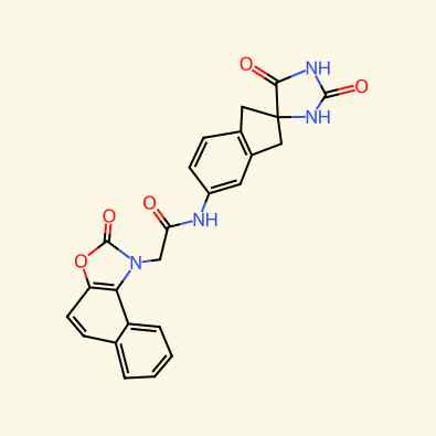 O=C(Cn1c(=O)oc2ccc3ccccc3c21)Nc1ccc2c(c1)CC1(C2)NC(=O)NC1=O